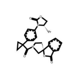 CC(C)[C@H]1COC(=O)N1c1ccc(C2(C(=O)N3CC[C@@]4(C3)OC(=O)c3ccccc34)CC2)cc1